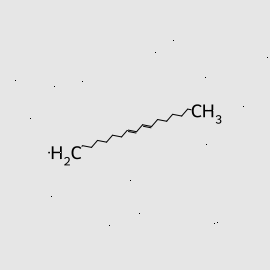 [CH2]CCCCCCC=CC=CCCCCCC